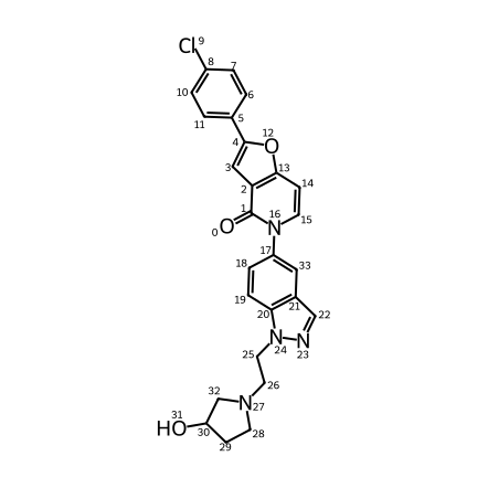 O=c1c2cc(-c3ccc(Cl)cc3)oc2ccn1-c1ccc2c(cnn2CCN2CCC(O)C2)c1